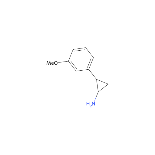 COc1cccc(C2CC2N)c1